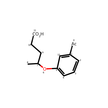 CC(=O)c1cccc(OC(C)CCC(=O)O)c1